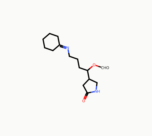 O=COC(CCCN=C1CCCCC1)C1CNC(=O)C1